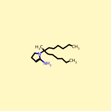 CCCCCCC(C)(CCCCCC)N1CCC=C1N